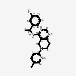 Cc1ccc(N2CCc3ncnc(NC(C)c4cccc(F)c4)c3C2)nc1